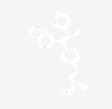 CCC(=C(c1ccc(C=CC(=O)O)cc1)c1ccc2ncnn2c1)c1ccccc1